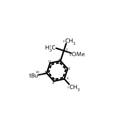 COC(C)(C)c1cc(C)cc(C(C)(C)C)c1